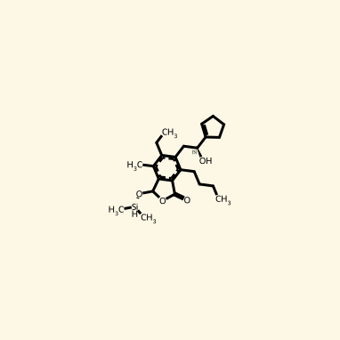 CCCCc1c(C[C@H](O)C2=CCCC2)c(CC)c(C)c2c1C(=O)OC2O[SiH](C)C